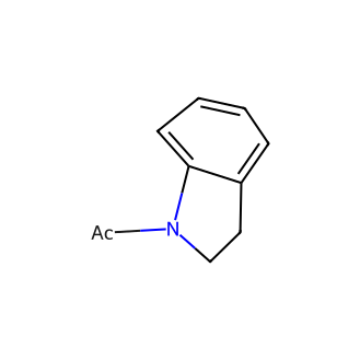 [CH2]C(=O)N1CCc2ccccc21